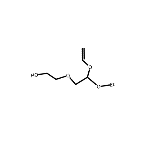 C=COC(COCCO)OCC